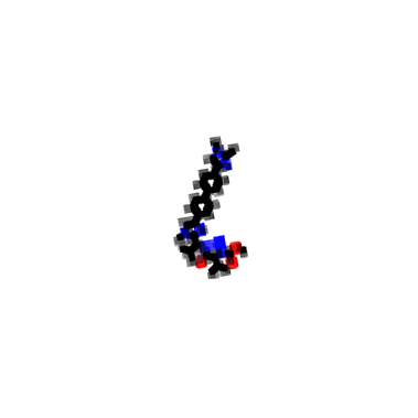 COC(=O)N[C@@H](C(=O)N[C@H](c1nc(-c2ccc(-c3ccc(-c4cn(C)c(C)n4)cc3)cc2)cn1C)C(C)C)C(C)C